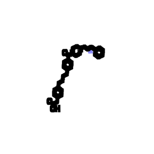 O=C(O)Cc1ccc(CCCCc2ccc(C(=O)N3CCN(C/C=C/c4ccccc4)CC3)cc2)cc1